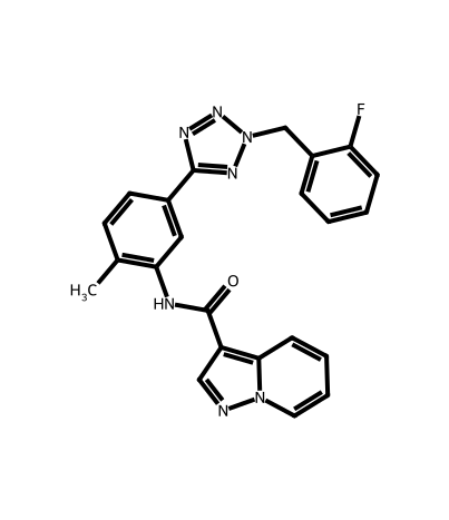 Cc1ccc(-c2nnn(Cc3ccccc3F)n2)cc1NC(=O)c1cnn2ccccc12